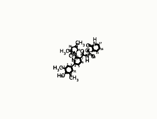 Cc1cc(-c2ccc(C(=O)NS(=O)(=O)c3ccc[nH]c3=O)c(N3C[C@@H](C)CC3(C)C)n2)cc(C)c1O